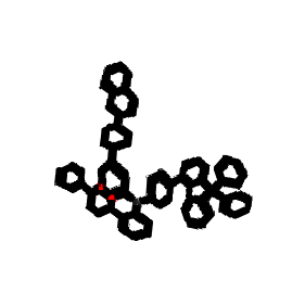 c1ccc(-c2ccc(-c3ccccc3N(c3ccc(-c4cccc5c4-c4ccccc4C5(c4ccccc4)c4ccccc4)cc3)c3cccc(-c4ccc(-c5ccc6ccccc6c5)cc4)c3)cc2)cc1